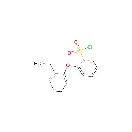 CCc1ccccc1Oc1ccccc1S(=O)(=O)Cl